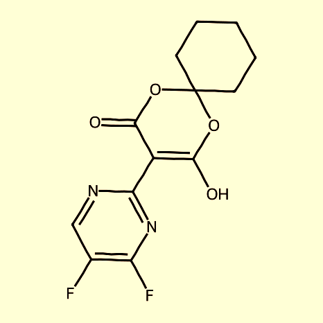 O=C1OC2(CCCCC2)OC(O)=C1c1ncc(F)c(F)n1